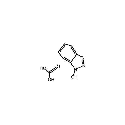 O=C(O)O.On1nnc2ccccc21